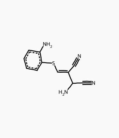 N#CC(=CSc1ccccc1N)C(N)C#N